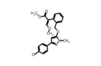 CO/C=C(/C(=O)OC)c1ccccc1COc1cc(-c2ccc(Cl)cc2)nn1C